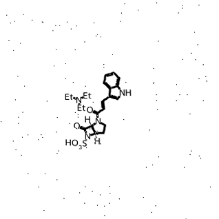 CCN(CC)CC.O=C(C=Cc1c[nH]c2ccccc12)N1CC[C@@H]2[C@H]1C(=O)N2S(=O)(=O)O